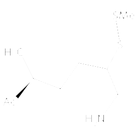 CSSC(CN)CC[C@H](C)C(C)=O